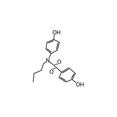 CCCCN(c1ccc(O)cc1)S(=O)(=O)c1ccc(O)cc1